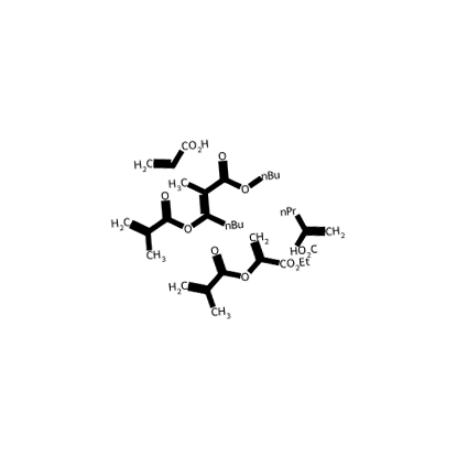 C=C(C)C(=O)OC(=C)C(=O)OCC.C=C(C)C(=O)OC(CCCC)=C(C)C(=O)OCCCC.C=C(CCC)C(=O)O.C=CC(=O)O